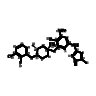 CNc1cc(Nc2cc(C)[nH]n2)nc(C[C@@]2(C(=O)O)CCN(Cc3cccc(Cl)c3F)[C@H](C)C2)c1F